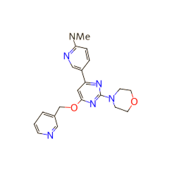 CNc1ccc(-c2cc(OCc3cccnc3)nc(N3CCOCC3)n2)cn1